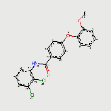 CCOc1ccccc1Oc1ccc(C(=O)Nc2cccc(Cl)c2Cl)cc1